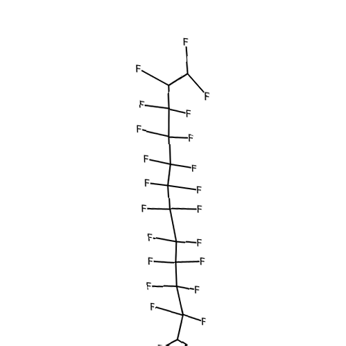 O=S(=O)(O)C(F)C(F)(F)C(F)(F)C(F)(F)C(F)(F)C(F)(F)C(F)(F)C(F)(F)C(F)(F)C(F)(F)C(F)C(F)F